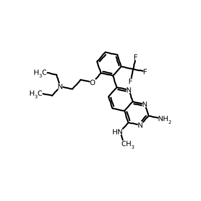 CCN(CC)CCOc1cccc(C(F)(F)F)c1-c1ccc2c(NC)nc(N)nc2n1